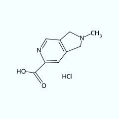 CN1Cc2cnc(C(=O)O)cc2C1.Cl